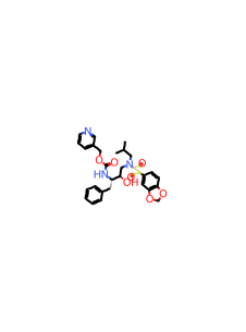 CC(C)CN(C[C@@H](O)[C@H](Cc1ccccc1)NC(=O)OCc1cccnc1)S(=O)(=O)c1ccc2c(c1)OCO2